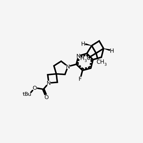 CC(C)(C)OC(=O)N1CC2(CCN(c3nc4c(cc3F)C[C@H]3C[C@@H]4C3(C)C)C2)C1